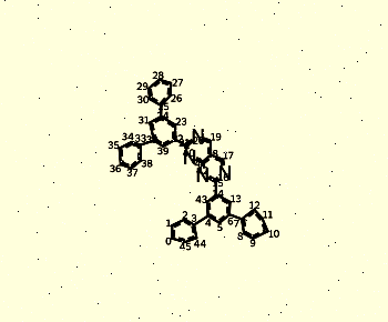 c1ccc(-c2cc(-c3ccccc3)cc(-c3ncc4cnc(-c5cc(-c6ccccc6)cc(-c6ccccc6)c5)nc4n3)c2)cc1